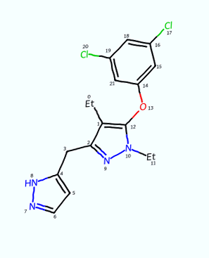 CCc1c(Cc2ccn[nH]2)nn(CC)c1Oc1cc(Cl)cc(Cl)c1